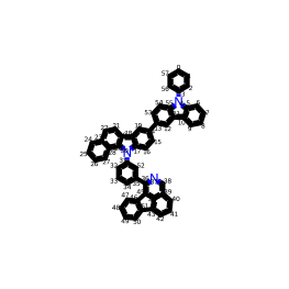 c1ccc(-n2c3ccccc3c3cc(-c4ccc5c(c4)c4ccc6ccccc6c4n5-c4cccc(-c5ncc6cccc7c6c5-c5ccccc5-7)c4)ccc32)cc1